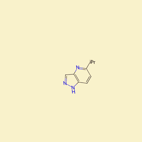 CC(C)c1ccc2[nH]ncc2n1